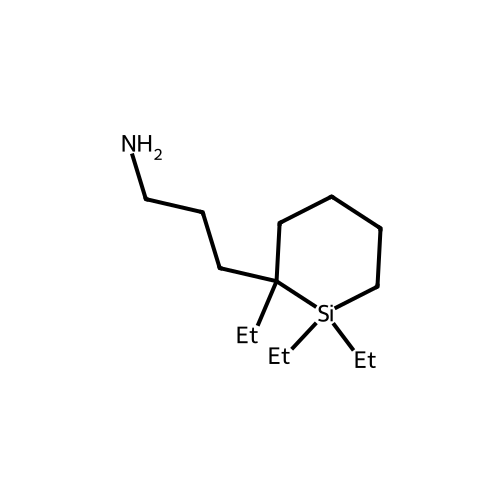 CCC1(CCCN)CCCC[Si]1(CC)CC